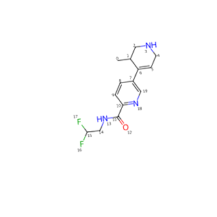 CC1CNCC=C1c1ccc(C(=O)NCC(F)F)nc1